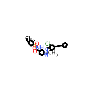 C=Cc1ccc(S(=O)(=O)NC(=O)c2ccc3nc(C)n(Cc4ccc(C#Cc5ccccc5)cc4Cl)c3c2)cc1